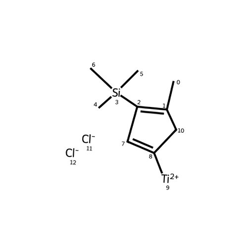 CC1=C([Si](C)(C)C)C=[C]([Ti+2])C1.[Cl-].[Cl-]